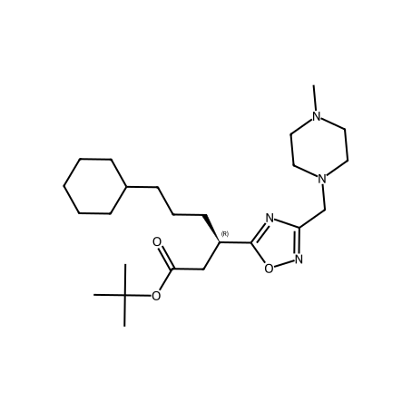 CN1CCN(Cc2noc([C@H](CCCC3CCCCC3)CC(=O)OC(C)(C)C)n2)CC1